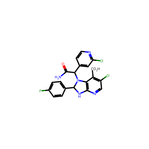 NC(=O)C(c1ccnc(Cl)c1)N1c2c(ncc(Cl)c2C(=O)O)NC1c1ccc(F)cc1